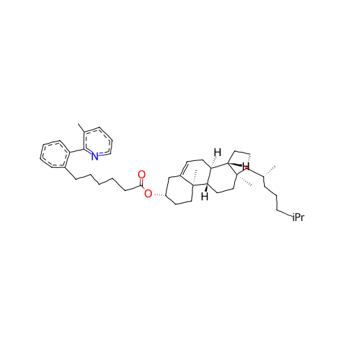 Cc1cccnc1-c1ccccc1CCCCCC(=O)O[C@H]1CC[C@@]2(C)C(=CC[C@H]3[C@@H]4CC[C@H]([C@H](C)CCCC(C)C)[C@@]4(C)CC[C@@H]32)C1